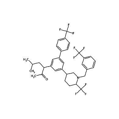 CC(=O)C(CC(C)C)c1cc(-c2ccc(C(F)(F)F)cc2)cc(C2CCC(C(F)(F)F)N(Cc3cccc(C(F)(F)F)c3)C2)c1